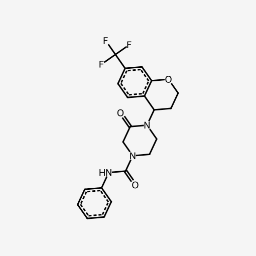 O=C(Nc1ccccc1)N1CCN(C2CCOc3cc(C(F)(F)F)ccc32)C(=O)C1